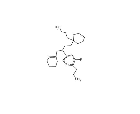 CCCCC1(CCC(CC2=CCCCC2)c2ccc(CCC)c(F)c2)CCCCC1